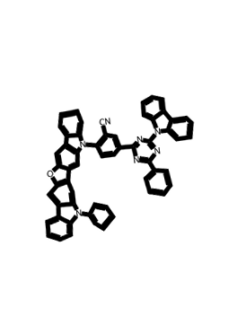 N#Cc1cc(-c2nc(-c3ccccc3)nc(-n3c4ccccc4c4ccccc43)n2)ccc1-n1c2ccccc2c2cc3oc4cc5c6ccccc6n(-c6ccccc6)c5cc4c3cc21